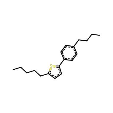 CCCCCc1ccc(-c2ccc(CCCC)cc2)s1